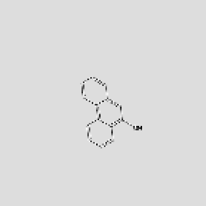 Oc1cc2[c]cccc2c2ccccc12